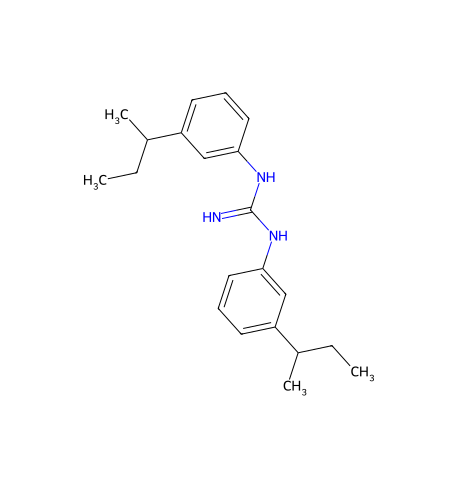 CCC(C)c1cccc(NC(=N)Nc2cccc(C(C)CC)c2)c1